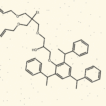 C=CCOCC(CC)(COCC=C)COCC(O)COc1c(C(C)c2ccccc2)cc(C(C)c2ccccc2)cc1C(C)c1ccccc1